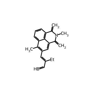 B=C/C(=C/c1cc2c3c(cccc3c1C)C(=C)N(C)C2=C)CC